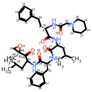 CC(C)CC(NC(=O)[C@H](CCc1ccccc1)NC(=O)CN1CCCCC1)C(=O)N[C@@H](Cc1ccccc1)C(=O)NC(CC(C)C)C(=O)[C@@]1(C)CO1